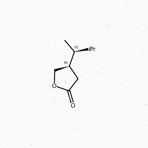 CC(C)[C@H](C)[C@@H]1COC(=O)C1